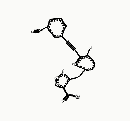 N#Cc1cccc(C#Cc2nc(Oc3[nH]nnc3C(=O)O)ccc2Cl)c1